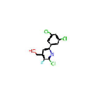 OCc1cc(-c2cc(Cl)cc(Cl)c2)nc(Cl)c1F